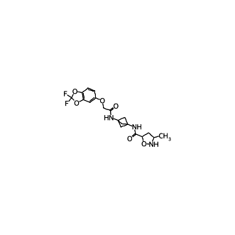 CC1CC(C(=O)NC23CC(NC(=O)COc4ccc5c(c4)OC(F)(F)O5)(C2)C3)ON1